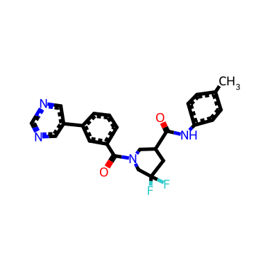 Cc1ccc(NC(=O)C2CN(C(=O)c3cccc(-c4cncnc4)c3)CC(F)(F)C2)cc1